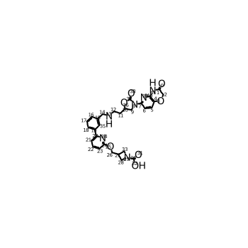 O=C1COc2ccc(N3CC(CCNCc4cccc(-c5cccc(OCC6CN(C(=O)O)C6)n5)c4)OC3=O)nc2N1